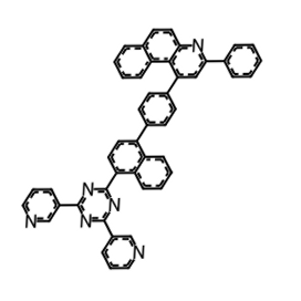 c1ccc(-c2cc(-c3ccc(-c4ccc(-c5nc(-c6cccnc6)nc(-c6cccnc6)n5)c5ccccc45)cc3)c3c(ccc4ccccc43)n2)cc1